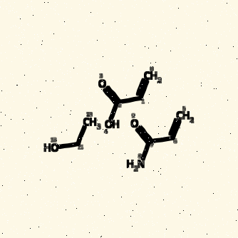 C=CC(=O)O.C=CC(N)=O.CCO